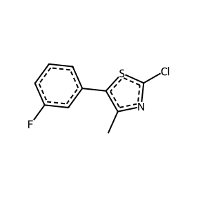 Cc1nc(Cl)sc1-c1cccc(F)c1